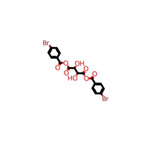 O=C(OC(=O)C(O)C(O)C(=O)OC(=O)c1ccc(Br)cc1)c1ccc(Br)cc1